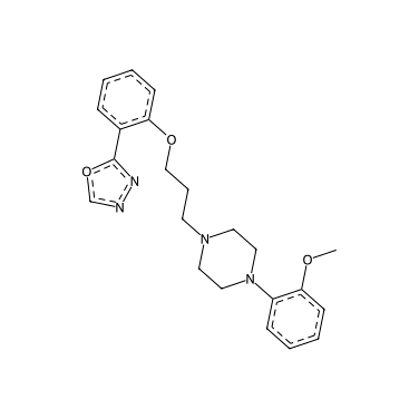 COc1ccccc1N1CCN(CCCOc2ccccc2-c2nnco2)CC1